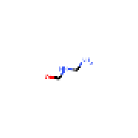 NCNC=O